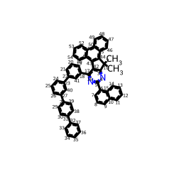 CC1(C)c2nc(-c3cccc4ccccc34)nc(-c3cccc(-c4cccc(-c5ccc(-c6ccccc6)cc5)c4)c3)c2-c2c1c1ccccc1c1ccccc21